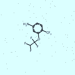 Nc1ccc(C(F)(F)F)c(OC(F)(F)C(F)F)c1